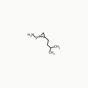 CC(C)CCC1CN1SN